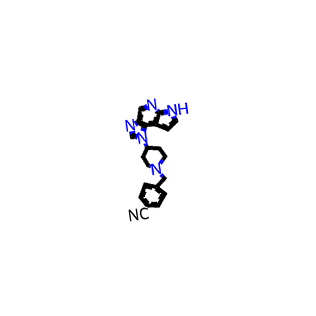 N#Cc1ccc(CN2CCC(n3cnc4cnc5[nH]ccc5c43)CC2)cc1